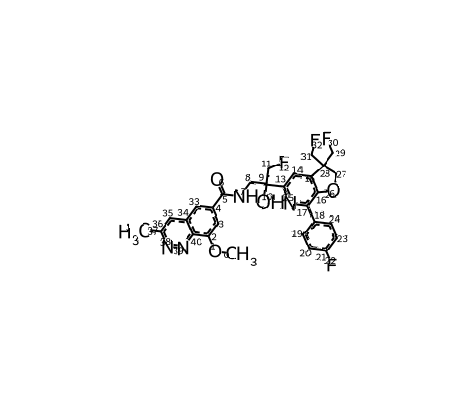 COc1cc(C(=O)NCC(O)(CF)c2cc3c(c(-c4ccc(F)cc4)n2)OCC3(CF)CF)cc2cc(C)nnc12